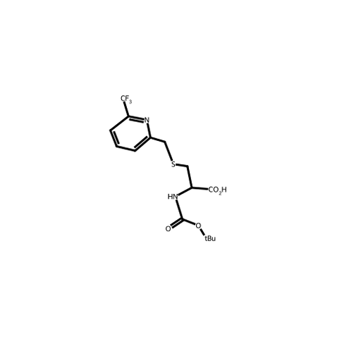 CC(C)(C)OC(=O)NC(CSCc1cccc(C(F)(F)F)n1)C(=O)O